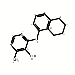 Nc1ncnc(Oc2cccc3c2CCCC3)c1C=O